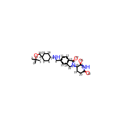 CC1(C)C[C@]2(CC[C@@H](NCc3ccc4c(c3)CN(C3CCC(=O)NC3=O)C4=O)CC2)CO1